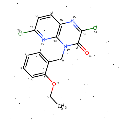 CCOc1ccccc1Cn1c(=O)c(Cl)nc2ccc(Cl)nc21